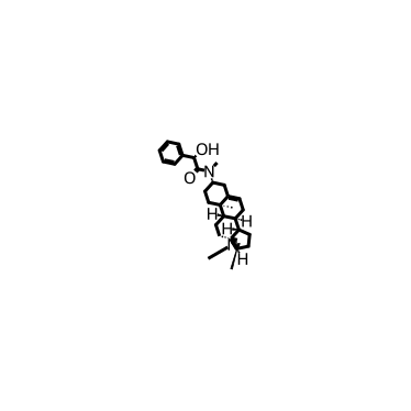 C[C@H]1[C@H]2CC[C@H]3[C@@H]4CC=C5C[C@@H](N(C)C(=O)[C@H](O)c6ccccc6)CC[C@]5(C)[C@H]4CC[C@]23CN1C